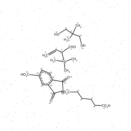 C=CN(C=O)[Si](C)(C)C.CC(C)(CO)CO.O=C(O)CCCCC(=O)O.O=C(O)c1ccc2c(c1)C(=O)OC2=O